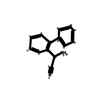 N#CC(N)c1cnccc1-c1ccccc1